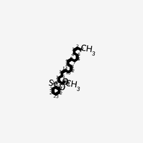 CC/C=C\C/C=C\C/C=C\C/C=C\C/C=C\CCC([Se]c1ccccc1)C(=O)OC